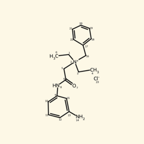 CC[N+](CC)(CC(=O)Nc1cccc(N)c1)Cc1ccccc1.[Cl-]